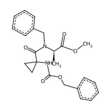 COC(=O)[C@@H](C)N(Cc1ccccc1)C(=O)C1(NC(=O)OCc2ccccc2)CC1